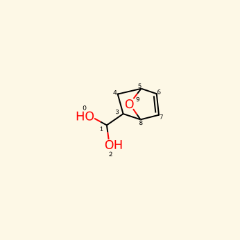 OC(O)C1CC2C=CC1O2